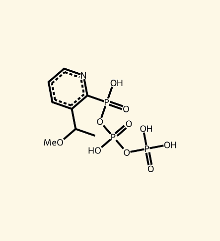 COC(C)c1cccnc1P(=O)(O)OP(=O)(O)OP(=O)(O)O